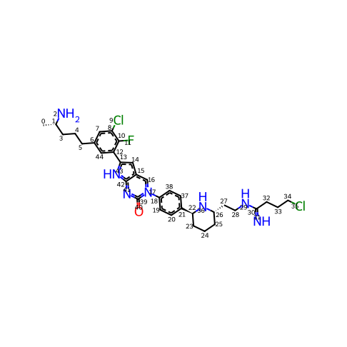 C[C@H](N)CCCc1cc(Cl)c(F)c(-c2cc3cn(-c4ccc([C@@H]5CCC[C@@H](CCNC(=N)CCCCl)N5)cc4)c(=O)nc3[nH]2)c1